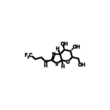 OCC1O[C@@H]2SC(NCCC(F)(F)F)=N[C@@H]2[C@@H](O)[C@@H]1O